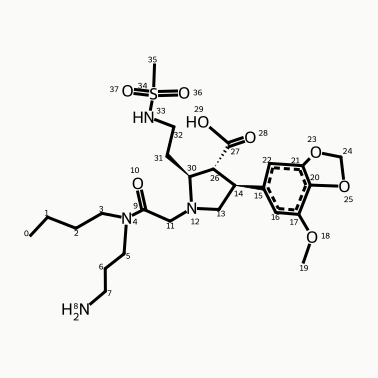 CCCCN(CCCN)C(=O)CN1C[C@H](c2cc(OC)c3c(c2)OCO3)[C@@H](C(=O)O)[C@@H]1CCNS(C)(=O)=O